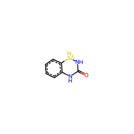 O=C1N[SH3]c2ccccc2N1